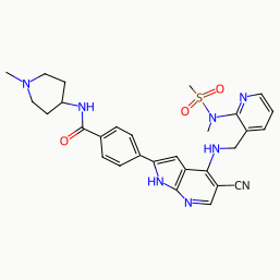 CN1CCC(NC(=O)c2ccc(-c3cc4c(NCc5cccnc5N(C)S(C)(=O)=O)c(C#N)cnc4[nH]3)cc2)CC1